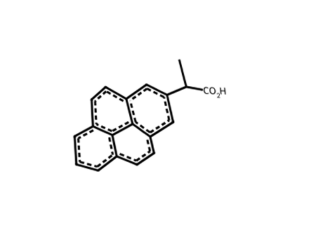 CC(C(=O)O)c1cc2ccc3cccc4ccc(c1)c2c34